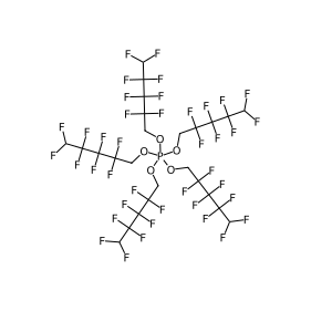 FC(F)C(F)(F)C(F)(F)C(F)(F)COP(OCC(F)(F)C(F)(F)C(F)(F)C(F)F)(OCC(F)(F)C(F)(F)C(F)(F)C(F)F)(OCC(F)(F)C(F)(F)C(F)(F)C(F)F)OCC(F)(F)C(F)(F)C(F)(F)C(F)F